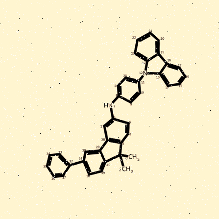 CC1(C)c2ccc(Nc3ccc(-n4c5ccccc5c5ccccc54)cc3)cc2-c2cc(-c3ccccc3)ccc21